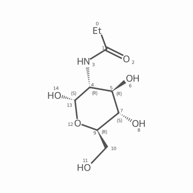 CCC(=O)N[C@@H]1[C@@H](O)[C@H](O)[C@@H](CO)O[C@@H]1O